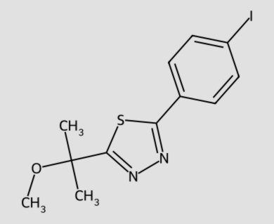 COC(C)(C)c1nnc(-c2ccc(I)cc2)s1